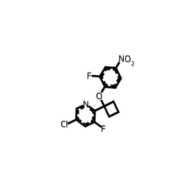 O=[N+]([O-])c1ccc(OC2(c3ncc(Cl)cc3F)CCC2)c(F)c1